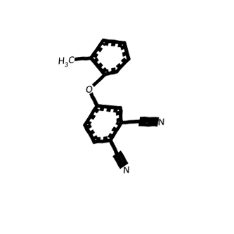 Cc1ccccc1Oc1ccc(C#N)c(C#N)c1